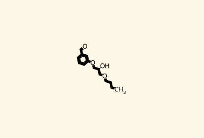 CCCCOC[C@@H](O)COc1cccc(C=O)c1